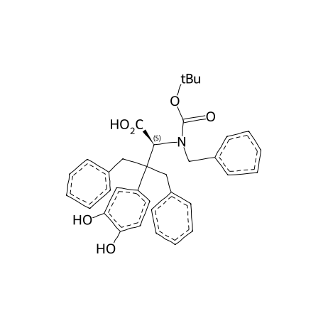 CC(C)(C)OC(=O)N(Cc1ccccc1)[C@H](C(=O)O)C(Cc1ccccc1)(Cc1ccccc1)c1ccc(O)c(O)c1